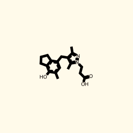 Cc1cc(Cc2c(C)nn(CCC(=O)O)c2C)c2c(c1O)CCC2